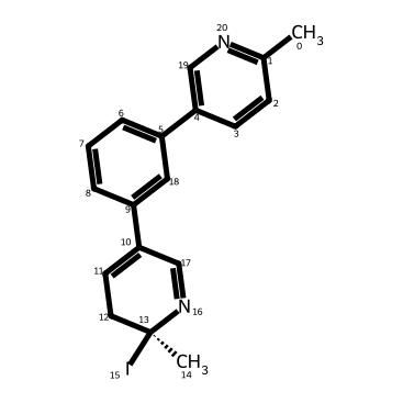 Cc1ccc(-c2cccc(C3=CC[C@](C)(I)N=C3)c2)cn1